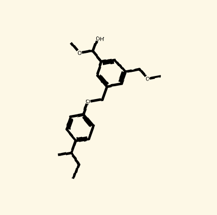 CCC(C)c1ccc(OCc2cc(COC)cc(C(O)OC)c2)cc1